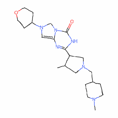 CC1CN(CC2CCN(C)CC2)CC1C1=NC2=CN(C3CCOCC3)CN2C(=O)N1